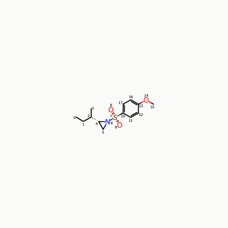 CCC(C)[C@H]1CN1S(=O)(=O)c1ccc(OC)cc1